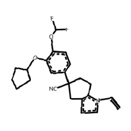 C=Cn1ccc2c1CCC(C#N)(c1ccc(OC(F)F)c(OC3CCCC3)c1)C2